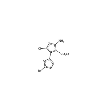 CCOC(=O)c1c(N)sc(Cl)c1-c1ccc(Br)s1